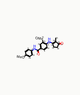 COc1ccc(NC(=O)c2ccc(NC3=C(C)C(=O)CC3)c(OC)c2)cc1